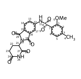 COc1cc(C)ccc1S(=O)(=O)Nc1ccc2c(c1)C(=O)N(C1CCC(=O)NC1=O)C2=O